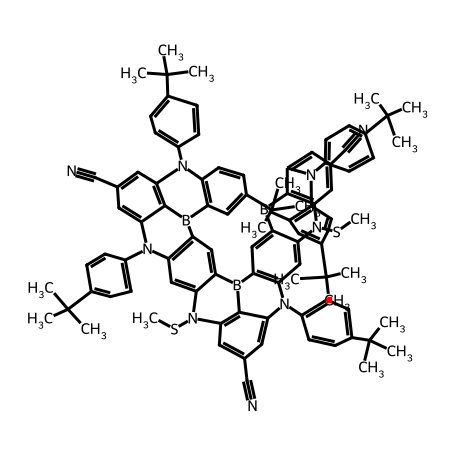 CSN1c2cc3c(cc2B2c4cc(C(C)(C)C)ccc4N(c4ccc(C(C)(C)C)cc4)c4cc(C#N)cc1c42)B1c2cc4c(cc2N(SC)c2cc(C#N)cc(c21)N3c1ccc(C(C)(C)C)cc1)N(c1ccc(C(C)(C)C)cc1)c1cc(C#N)cc2c1B4c1cc(C(C)(C)C)ccc1N2c1ccc(C(C)(C)C)cc1